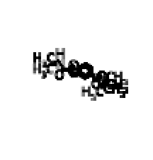 CC(C)NC(=O)c1cc2cc(B3OC(C)(C)C(C)(C)O3)ccc2o1